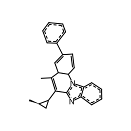 CC1=C(C2C[C@H]2C)c2nc3ccccc3n2C2C=CC(c3ccccc3)=CC12